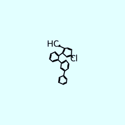 C#Cc1ccc(Cl)cc1-c1ccccc1-c1cccc(-c2ccccc2)c1